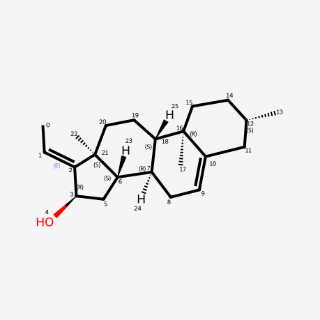 C/C=C1/[C@H](O)C[C@H]2[C@@H]3CC=C4C[C@@H](C)CC[C@]4(C)[C@H]3CC[C@]12C